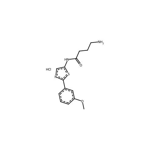 COc1cccc(-c2ncc(NC(=O)CCCN)s2)c1.Cl